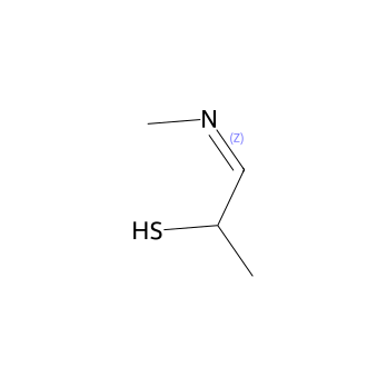 C/N=C\C(C)S